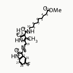 COC(=O)CCCCCCCCNC(=O)c1c(C)[nH]c(/C=N/N=C2\C(=O)Nc3ccc(F)cc32)c1C